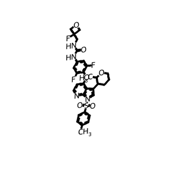 Cc1ccc(S(=O)(=O)n2cc(C3CCCOC3C)c3c(Oc4c(F)cc(NC(=O)NCC5(F)COC5)cc4F)ccnc32)cc1